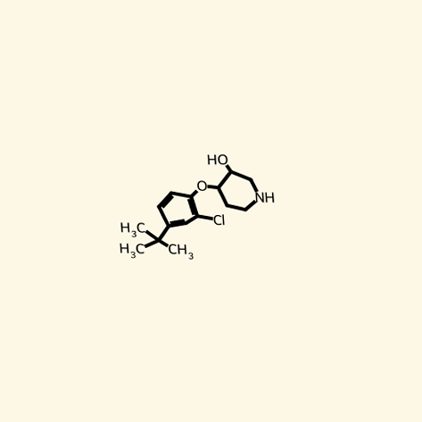 CC(C)(C)c1ccc(OC2CCNCC2O)c(Cl)c1